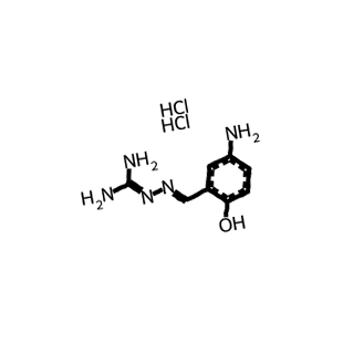 Cl.Cl.NC(N)=NN=Cc1cc(N)ccc1O